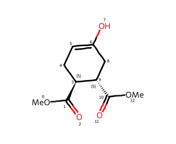 COC(=O)[C@H]1CC=C(O)C[C@@H]1C(=O)OC